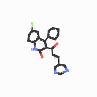 O=C(/C=C/c1cncnc1)c1c(-c2ccccc2)c2cc(F)ccc2[nH]c1=O